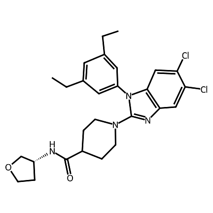 CCc1cc(CC)cc(-n2c(N3CCC(C(=O)N[C@@H]4CCOC4)CC3)nc3cc(Cl)c(Cl)cc32)c1